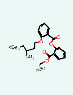 CCCCCCCCCCCC(CCOc1ccccc1C(=O)Oc1ccccc1C(=O)OC[C@@H](C)CC)[N+](=O)[O-]